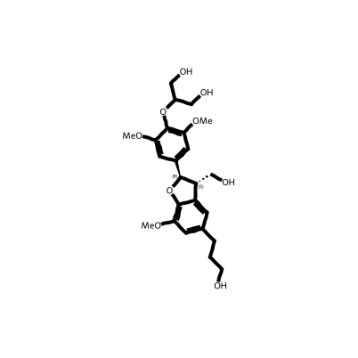 COc1cc([C@@H]2Oc3c(OC)cc(CCCO)cc3[C@H]2CO)cc(OC)c1OC(CO)CO